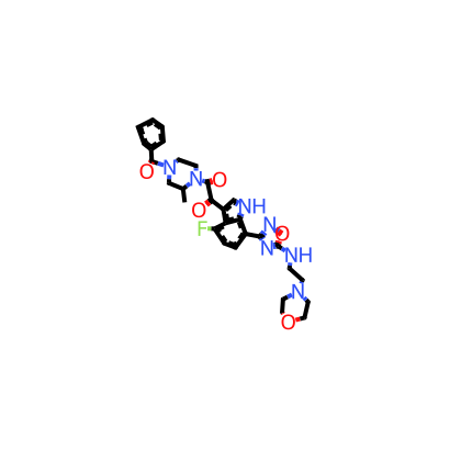 CC1CN(C(=O)c2ccccc2)CCN1C(=O)C(=O)c1c[nH]c2c(-c3noc(NCCN4CCOCC4)n3)ccc(F)c12